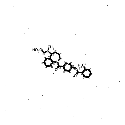 Cc1ccccc1C(=O)Nc1ccc(C(=O)N2CCCC(N(C)CC(=O)O)c3ccccc32)cc1